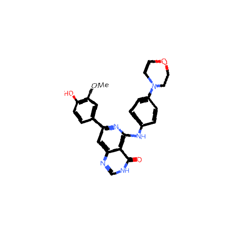 COc1cc(-c2cc3nc[nH]c(=O)c3c(Nc3ccc(N4CCOCC4)cc3)n2)ccc1O